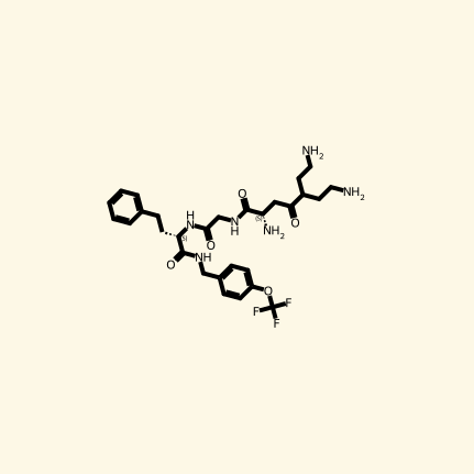 NCCC(CCN)C(=O)C[C@H](N)C(=O)NCC(=O)N[C@@H](CCc1ccccc1)C(=O)NCc1ccc(OC(F)(F)F)cc1